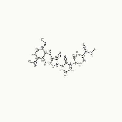 COC(=O)c1ccc(NC(=O)[C@H](CC(C)C)N2CC3=C(Oc4c(OC)ccc(OC)c4C3)C2=O)nc1